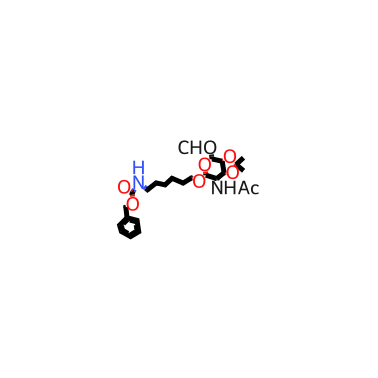 CC(=O)NC1C(OCCCCCCNC(=O)OCc2ccccc2)OC(C=O)C2OC(C)(C)OC12